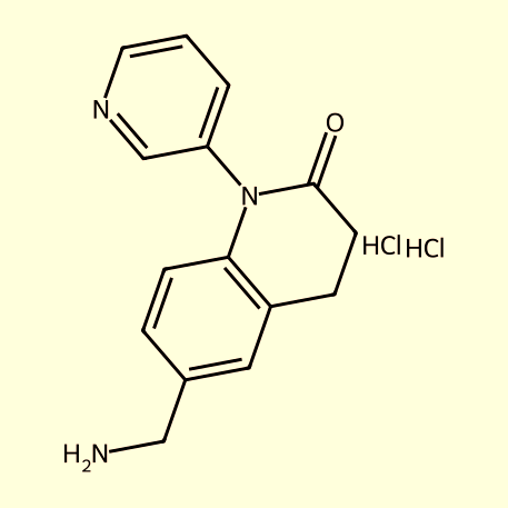 Cl.Cl.NCc1ccc2c(c1)CCC(=O)N2c1cccnc1